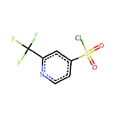 O=S(=O)(Cl)c1ccnc(C(F)(F)F)c1